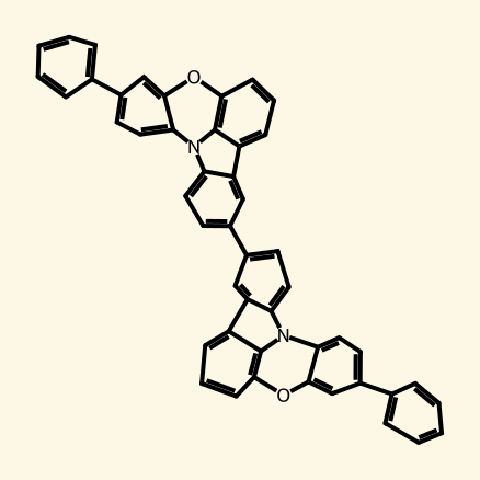 c1ccc(-c2ccc3c(c2)Oc2cccc4c5cc(-c6ccc7c(c6)c6cccc8c6n7-c6ccc(-c7ccccc7)cc6O8)ccc5n-3c24)cc1